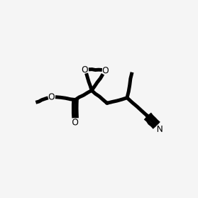 COC(=O)C1(CC(C)C#N)OO1